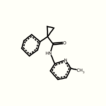 Cc1cccc(NC(=O)C2(c3ccccc3)CC2)n1